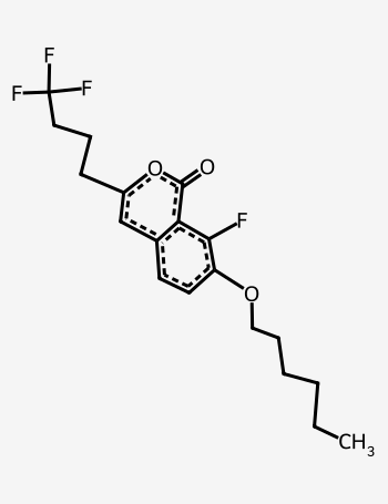 CCCCCCOc1ccc2cc(CCCC(F)(F)F)oc(=O)c2c1F